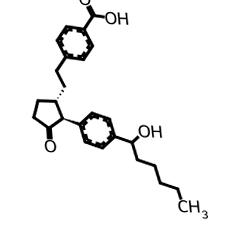 CCCCCC(O)c1ccc([C@H]2C(=O)CC[C@@H]2CCc2ccc(C(=O)O)cc2)cc1